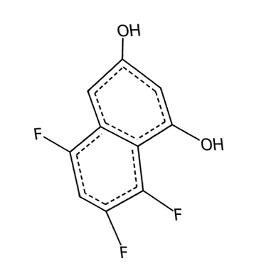 Oc1cc(O)c2c(F)c(F)cc(F)c2c1